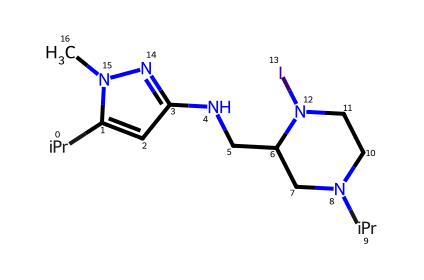 CC(C)c1cc(NCC2CN(C(C)C)CCN2I)nn1C